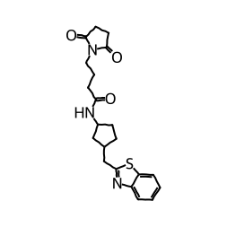 O=C(CCCN1C(=O)CCC1=O)NC1CCC(Cc2nc3ccccc3s2)C1